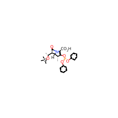 C[C@@H](O[Si](C)(C)C)[C@H]1C(=O)N2C(C(=O)O)=C(OP(Oc3ccccc3)Oc3ccccc3)[C@H](C)[C@H]12